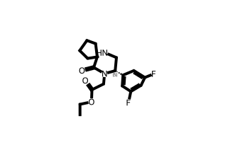 CCOC(=O)CN1C(=O)C2(CCCC2)NC[C@@H]1c1cc(F)cc(F)c1